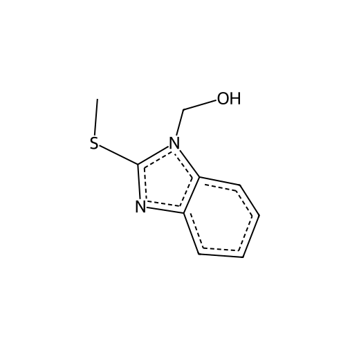 CSc1nc2ccccc2n1CO